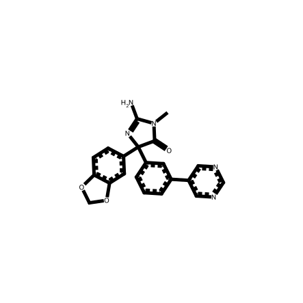 CN1C(=O)C(c2cccc(-c3cncnc3)c2)(c2ccc3c(c2)OCO3)N=C1N